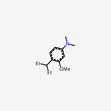 CCC(CC)c1ccc(N(C)C)cc1OC